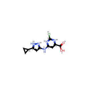 O=C(O)c1cc(Nc2cc(C3CC3)[nH]n2)nc(Cl)n1